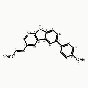 CCCCC/C=C/c1cnc2[nH]c3ccc(-c4ccc(OC)cc4)cc3c2c1